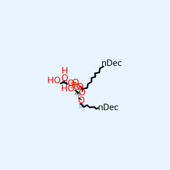 CCCCCCCCCCCCCC/C=C\OC[C@H](COP(=O)(O)OC[C@@H](O)CO)OC(=O)CCCCCCCCCCCCCCCCCCC